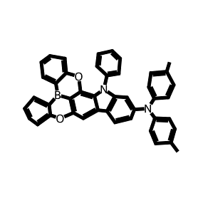 Cc1ccc(N(c2ccc(C)cc2)c2ccc3c4cc5c6c(c4n(-c4ccccc4)c3c2)Oc2ccccc2B6c2ccccc2O5)cc1